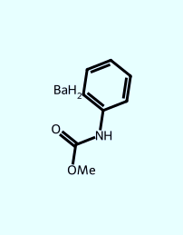 COC(=O)Nc1ccccc1.[BaH2]